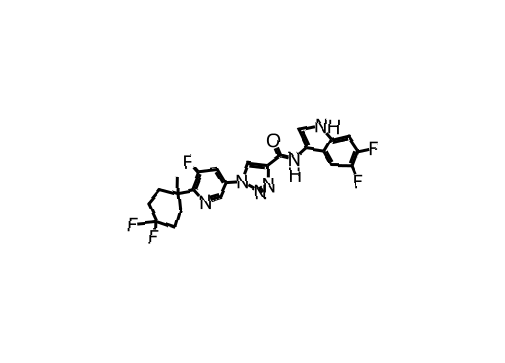 CC1(c2ncc(-n3cc(C(=O)Nc4c[nH]c5cc(F)c(F)cc45)nn3)cc2F)CCC(F)(F)CC1